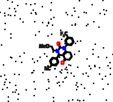 COCCN1C(=O)N(c2cccc(C(F)(F)F)c2)C2=C(C(=O)CCC2)C1c1ccc(C#N)cc1